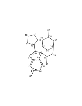 Cc1ccc(C2(C(=O)N3CCCC3)C(C)CC3CC(C)CC2C3)cc1